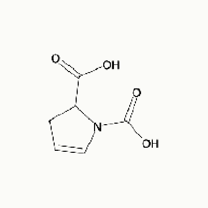 O=C(O)C1CC=CN1C(=O)O